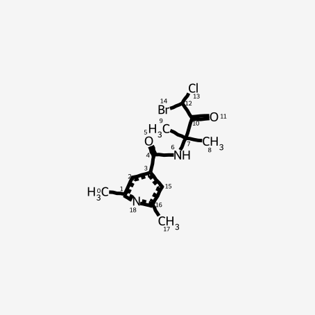 Cc1cc(C(=O)NC(C)(C)C(=O)C(Cl)Br)cc(C)n1